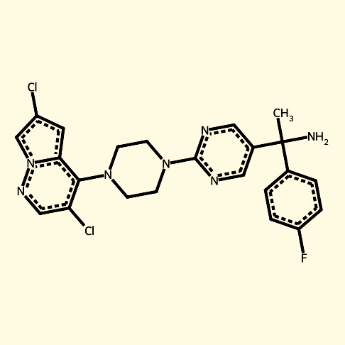 CC(N)(c1ccc(F)cc1)c1cnc(N2CCN(c3c(Cl)cnn4cc(Cl)cc34)CC2)nc1